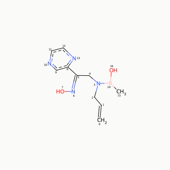 C=CCN(C/C(=N/O)c1cnccn1)B(C)O